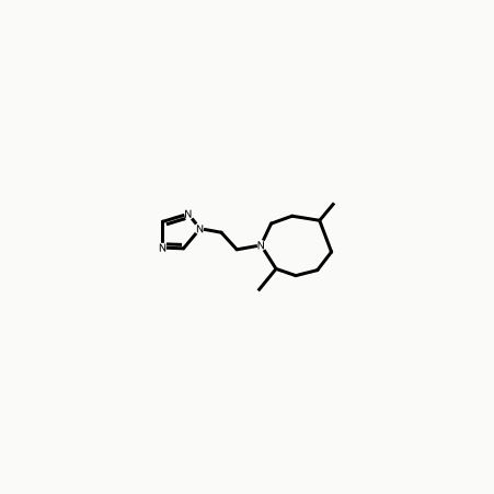 CC1CCCC(C)N(CCn2cncn2)CC1